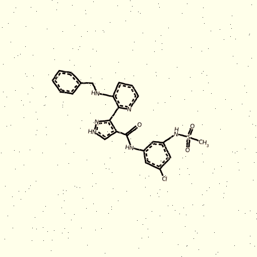 CS(=O)(=O)Nc1cc(Cl)cc(NC(=O)c2c[nH]nc2-c2ncccc2NCc2ccccc2)c1